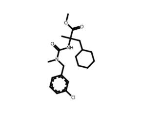 COC(=O)C(C)(CC1CCCCC1)NC(=O)N(C)Cc1cccc(Cl)c1